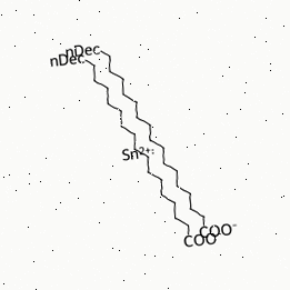 CCCCCCCCCCCCCCCCCCCCCCCCCC(=O)[O-].CCCCCCCCCCCCCCCCCCCCCCCCCC(=O)[O-].[Sn+2]